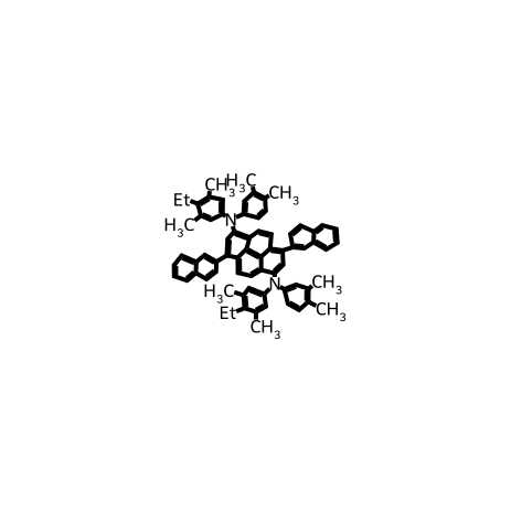 CCc1c(C)cc(N(c2ccc(C)c(C)c2)c2cc(-c3ccc4ccccc4c3)c3ccc4c(N(c5ccc(C)c(C)c5)c5cc(C)c(CC)c(C)c5)cc(-c5ccc6ccccc6c5)c5ccc2c3c54)cc1C